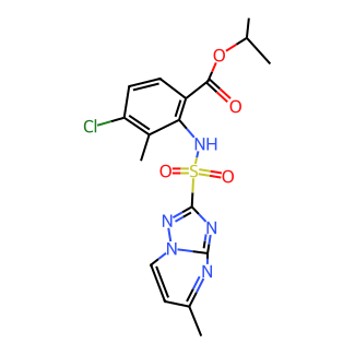 Cc1ccn2nc(S(=O)(=O)Nc3c(C(=O)OC(C)C)ccc(Cl)c3C)nc2n1